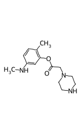 CNc1ccc(C)c(OC(=O)CN2CCNCC2)c1